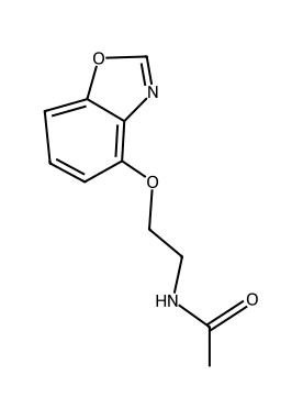 CC(=O)NCCOc1cccc2ocnc12